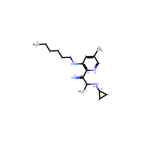 CCCCCCNc1cc(C)cnc1C(=N)C(C)NC1CC1